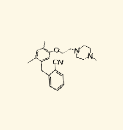 Cc1cc(C)c(OCCN2CCN(C)CC2)cc1Cc1ccccc1C#N